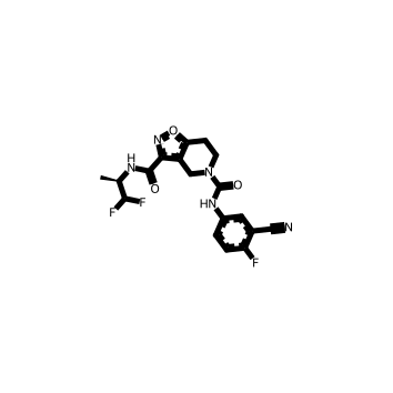 C[C@@H](NC(=O)c1noc2c1CN(C(=O)Nc1ccc(F)c(C#N)c1)CC2)C(F)F